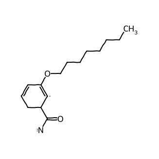 CCCCCCCCOC1=[C]C(C([N])=O)CC=C1